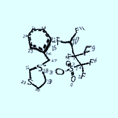 O=S(=O)([O-])C(F)(F)C(F)(F)C(F)F.c1ccc(C[S+]2CCSC2)cc1